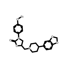 CCOc1ccc(N2CC(CN3CCC(c4ccc5c(c4)OCO5)CC3)OC2=O)cc1